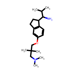 CC(C)C(N)C1CCc2cc(OCC(C)(C)CN(C)C)ccc21